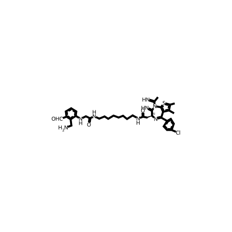 CC(=N)N1C(=N)[C@H](CC(=O)NCCCCCCCCNC(=O)CNc2cccc(C=O)c2CN)N=C(c2ccc(Cl)cc2)c2c1sc(C)c2C